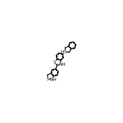 c1ccc2c(c1)C[SH](c1ccc3c(c1)NC(c1ccc4c(c1)CSN4)S3)C2